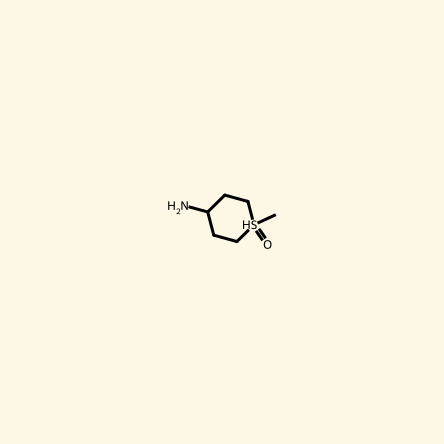 C[SH]1(=O)CCC(N)CC1